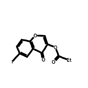 CCC(=O)Oc1coc2ccc(I)cc2c1=O